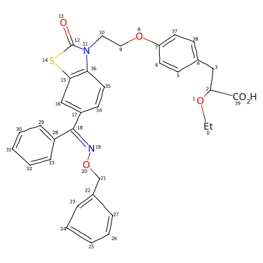 CCOC(Cc1ccc(OCCn2c(=O)sc3cc(C(=NOCc4ccccc4)c4ccccc4)ccc32)cc1)C(=O)O